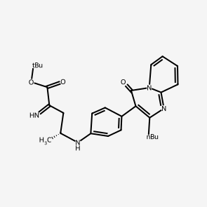 CCCCc1nc2ccccn2c(=O)c1-c1ccc(N[C@H](C)CC(=N)C(=O)OC(C)(C)C)cc1